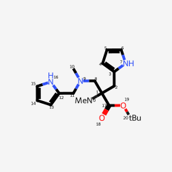 CNC(Cc1ccc[nH]1)(CN(C)Cc1ccc[nH]1)C(=O)OC(C)(C)C